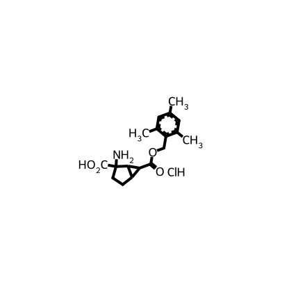 Cc1cc(C)c(COC(=O)C2C3CCC(N)(C(=O)O)C32)c(C)c1.Cl